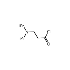 CC(C)N(CCC(=O)Cl)C(C)C